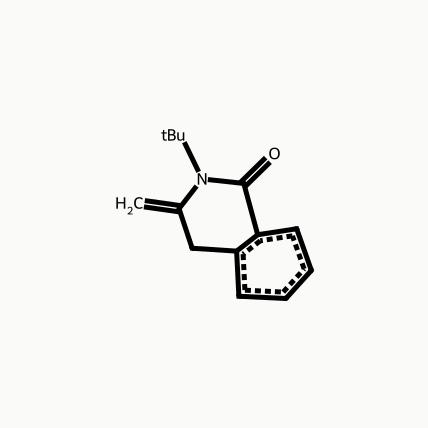 C=C1Cc2ccccc2C(=O)N1C(C)(C)C